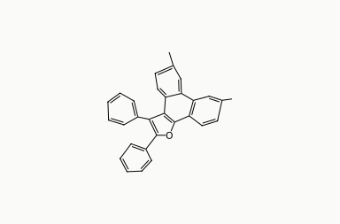 Cc1ccc2c(c1)c1cc(C)ccc1c1c(-c3ccccc3)c(-c3ccccc3)oc21